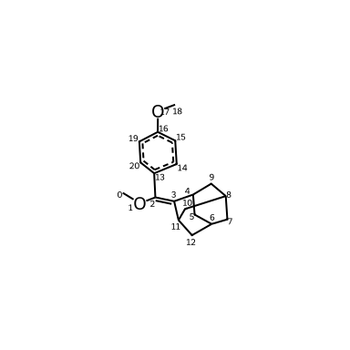 COC(=C1C2CC3CC(C2)CC1C3)c1ccc(OC)cc1